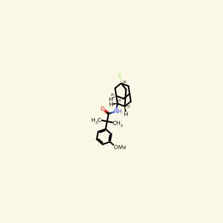 COc1cccc(C(C)(C)C(=O)N[C@@H]2[C@@H]3CC4C[C@H]2C[C@](F)(C4)C3)c1